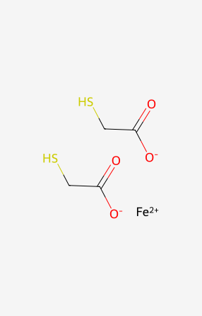 O=C([O-])CS.O=C([O-])CS.[Fe+2]